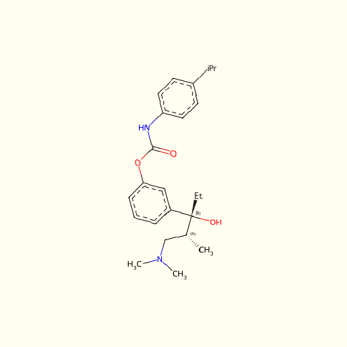 CC[C@](O)(c1cccc(OC(=O)Nc2ccc(C(C)C)cc2)c1)[C@H](C)CN(C)C